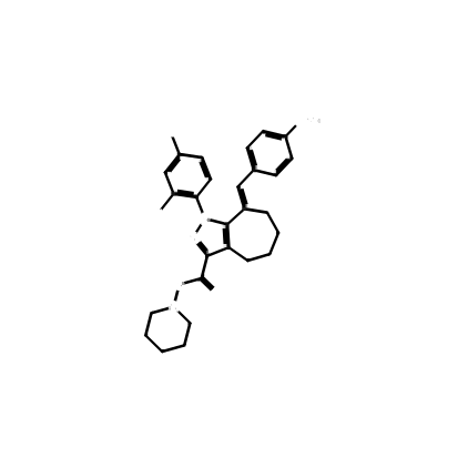 COc1ccc(C=C2CCCCc3c(C(=O)NN4CCCCC4)nn(-c4ccc(Cl)cc4Cl)c32)cc1